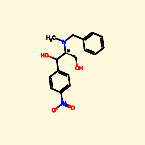 CN(Cc1ccccc1)[C@H](CO)C(O)c1ccc([N+](=O)[O-])cc1